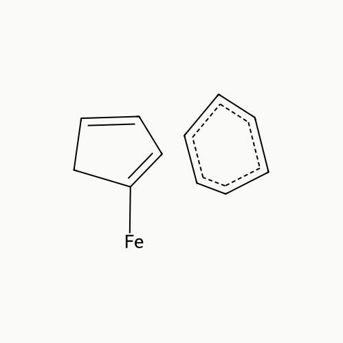 [Fe][C]1=CC=CC1.c1ccccc1